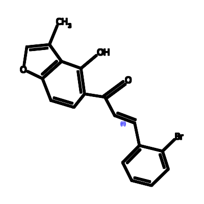 Cc1coc2ccc(C(=O)/C=C/c3ccccc3Br)c(O)c12